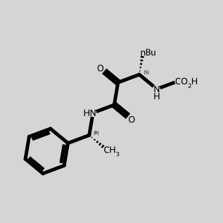 CCCC[C@H](NC(=O)O)C(=O)C(=O)N[C@H](C)c1ccccc1